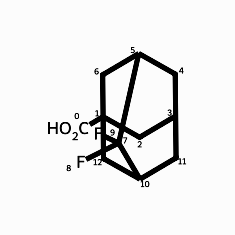 O=C(O)C12CC3CC(C1)C(F)(F)C(C3)C2